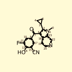 Cn1c(C2CC2)c(C(=O)c2cc(F)c(O)c(C#N)c2)c2ccncc21